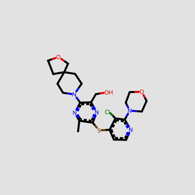 Cc1nc(N2CCC3(CCOC3)CC2)c(CO)nc1Sc1ccnc(N2CCOCC2)c1Cl